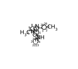 Cc1ccc(-c2nc3ccc(C)nn3c2CC(=O)NN2CCCCC2)cc1